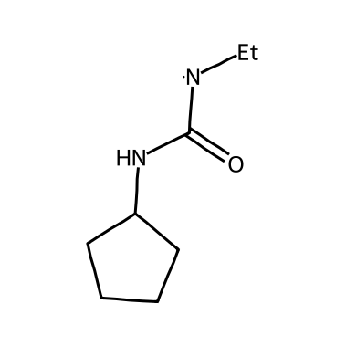 CC[N]C(=O)NC1CCCC1